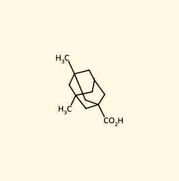 CC12C[C]3CC(C)(C1)CC(C(=O)O)(C3)C2